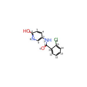 O=C(Nc1ccc(O)nc1)c1ccccc1Cl